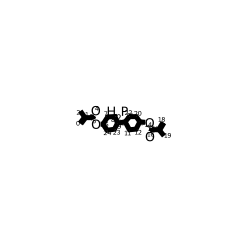 C=C(C)C(=O)OC1CCC(C2CCC(OC(=O)C(=C)C)CC2P)CC1